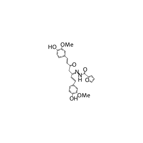 COc1cc(C=CC(=O)CC(C=Cc2ccc(O)c(OC)c2)=NNC(=O)c2ccco2)ccc1O